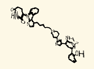 Nc1nnc(-c2ccccc2O)cc1-c1cnn(C2CCN(CCCCCc3ccnc4c3c3ccccc3n4C3CCC(=O)NC3=O)CC2)c1